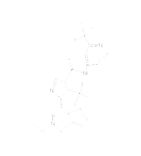 CO[n+]1cc(-n2ncc(C(=O)Nc3ccnc(C(F)(F)F)c3)c2C(F)(F)F)c2ccsc2c1